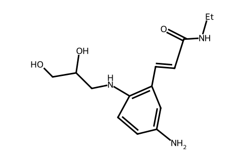 CCNC(=O)C=Cc1cc(N)ccc1NCC(O)CO